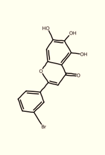 O=c1cc(-c2cccc(Br)c2)oc2cc(O)c(O)c(O)c12